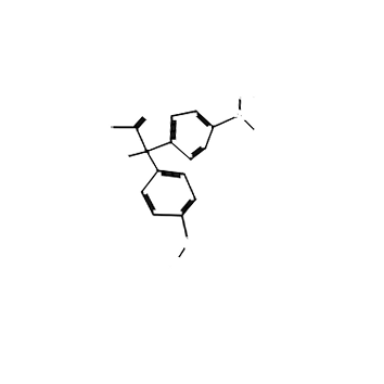 COc1ccc(C(C)(C(=O)O)c2ccc(N(C)C)cc2)cc1